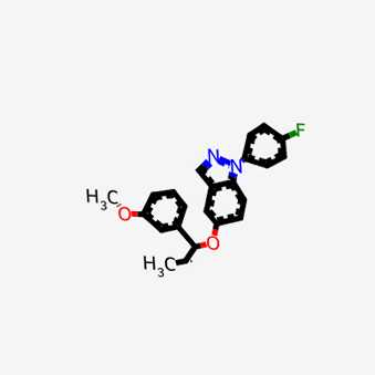 C[CH]C(Oc1ccc2c(cnn2-c2ccc(F)cc2)c1)c1cccc(OC)c1